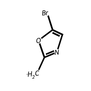 [CH2]c1ncc(Br)o1